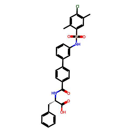 Cc1cc(S(=O)(=O)Nc2cccc(-c3ccc(C(=O)N[C@@H](Cc4ccccc4)C(=O)O)cc3)c2)c(C)cc1Cl